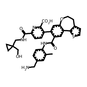 Cc1cc(CN)ccc1NC(=O)c1cc2c(cc1-c1ccc(C(=O)NCC3(CO)CC3)nc1C(=O)O)OCCc1ccsc1-2